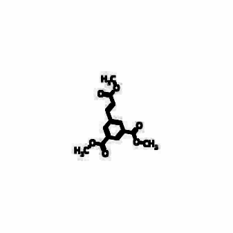 COC(=O)/C=C/c1cc(C(=O)OC)cc(C(=O)OC)c1